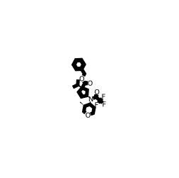 CC(C)[C@]1(C(=O)OCc2ccccc2)C=C[C@@H](N(C(=O)C(F)(F)F)[C@@H]2CCOC[C@@H]2C)C1